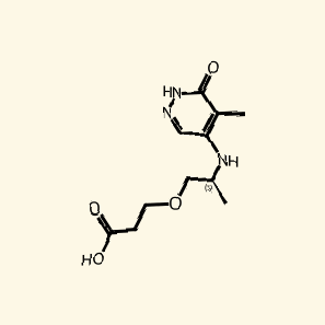 Cc1c(N[C@@H](C)COCCC(=O)O)cn[nH]c1=O